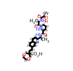 CC(NC(=O)C(O)C(C)C)C(=O)N1CCCC(C(=O)N[C@H](C)c2ccc3ccc(C=CC4(C(=O)O)COCCOC4)cc3n2)N1